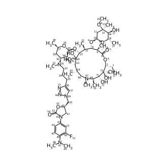 CC[C@H]1OC(=O)[C@H](C)[C@@H](O[C@H]2C[C@@](C)(OC)[C@@H](O)[C@H](C)O2)[C@H](C)[C@@H](O[C@@H]2O[C@H](C)C[C@H](N(C)CCCc3cn(C[C@H]4CN(c5ccc(N(C)C)c(F)c5)C(=O)O4)nn3)[C@H]2O)[C@](C)(O)C[C@@H](C)CN(C)[C@H](C)[C@@H](O)[C@]1(C)O